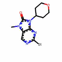 CCc1ncc2c(n1)n(C1CCOCC1)c(=O)n2C